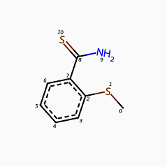 CSc1ccccc1C(N)=S